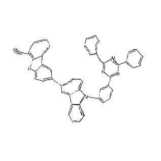 CCCCc1cccc2c1oc1ccc(-c3ccc4c(c3)c3ccccc3n4-c3cccc(-c4nc(-c5ccccc5)nc(-c5ccccc5)n4)c3)cc12